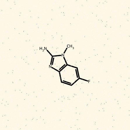 Cn1c(N)nc2ccc(F)cc21